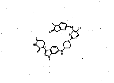 CN1C(=O)Cc2cc(Nc3nc(N4CCC(Nc5ccc6c([C@@H]7CCC(=O)NC7=O)nn(C)c6c5)CC4)ncc3Cl)ccc21